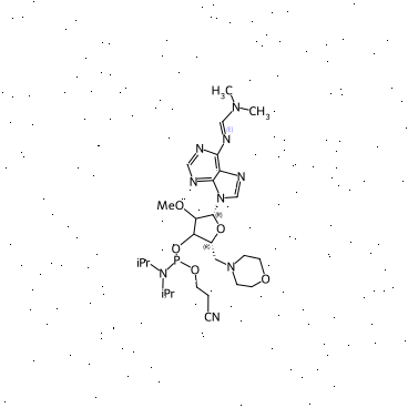 COC1C(OP(OCCC#N)N(C(C)C)C(C)C)[C@@H](CN2CCOCC2)O[C@H]1n1cnc2c(/N=C/N(C)C)ncnc21